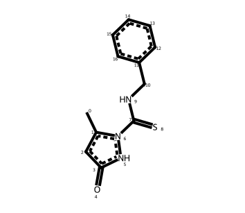 Cc1cc(=O)[nH]n1C(=S)N[CH]c1ccccc1